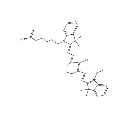 CC[N+]1=C(/C=C/C2=C(Cl)C(=C/C=C3/N(CCCCCC(=O)O)c4ccccc4C3(C)C)/CCC2)C(C)(C)c2ccccc21